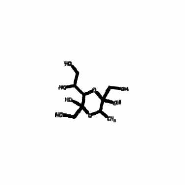 CC1OC(O)(CO)C(C(O)CO)OC1(O)CO